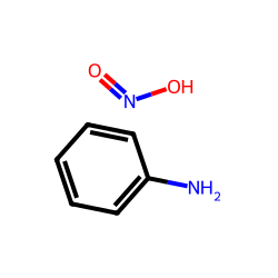 Nc1ccccc1.O=NO